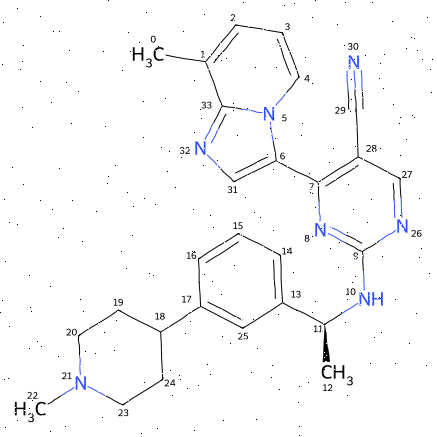 Cc1cccn2c(-c3nc(N[C@@H](C)c4cccc(C5CCN(C)CC5)c4)ncc3C#N)cnc12